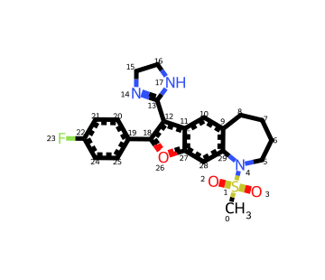 CS(=O)(=O)N1CCCCc2cc3c(C4=NCCN4)c(-c4ccc(F)cc4)oc3cc21